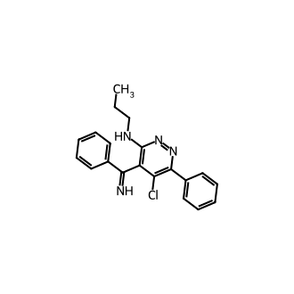 CCCNc1nnc(-c2ccccc2)c(Cl)c1C(=N)c1ccccc1